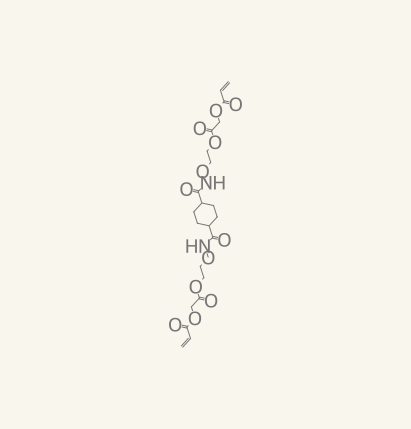 C=CC(=O)OCC(=O)OCCONC(=O)C1CCC(C(=O)NOCCOC(=O)COC(=O)C=C)CC1